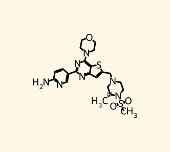 C[C@H]1CN(Cc2cc3nc(-c4ccc(N)nc4)nc(N4CCOCC4)c3s2)CCN1S(C)(=O)=O